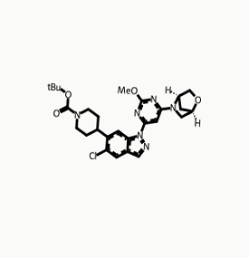 COc1nc(N2C[C@H]3C[C@@H]2CO3)cc(-n2ncc3cc(Cl)c(C4CCN(C(=O)OC(C)(C)C)CC4)cc32)n1